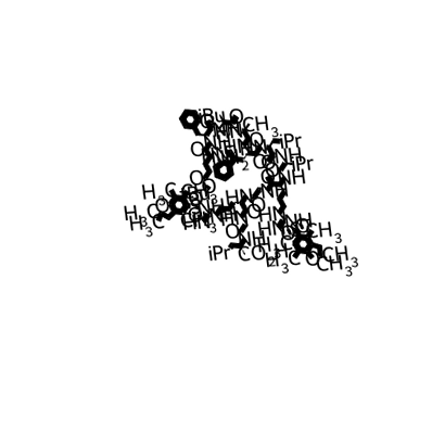 CC[C@H](C)[C@H](NC(=O)[C@H](Cc1ccccc1)NC(=O)[C@@H](N)CCC(=O)OC(C)(C)C)C(=O)N[C@@H](C)C(=O)N[C@@H](Cc1c[nH]c2ccccc12)C(=O)N[C@@H](CC(C)C)C(=O)N[C@H](C(=O)N[C@@H](CCCNC(=N)NS(=O)(=O)c1c(C)c(C)c2c(c1C)CC(C)(C)O2)C(=O)NCC(=O)N[C@@H](CCCNC(=N)NS(=O)(=O)c1c(C)c(C)c2c(c1C)CC(C)(C)O2)C(=O)NCC(=O)N[C@@H](CC(C)C)C(=O)O)C(C)C